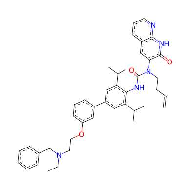 C=CCCN(C(=O)Nc1c(C(C)C)cc(-c2cccc(OCCN(CC)Cc3ccccc3)c2)cc1C(C)C)c1cc2cccnc2[nH]c1=O